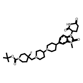 Cn1c(=O)n(C2CCC(=O)NC2=O)c2ccc(C3CCN(C4CCN(CC5(F)CCN(C(=O)OC(C)(C)C)CC5)CC4)CC3)cc21